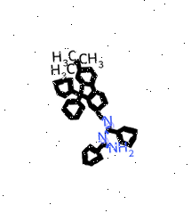 CC(C)(C)c1ccc2c(c1)C(c1ccccc1)(c1ccccc1)c1cc(C/N=C(\N=C(/N)c3ccccc3)c3ccccc3)ccc1-2